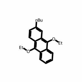 CCCCc1ccc2c(OCC)c3ccccc3c(OCC)c2c1